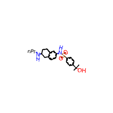 CCCNC1CCc2cc(NS(=O)(=O)c3ccc(C(C)(C)O)cc3)ccc2C1